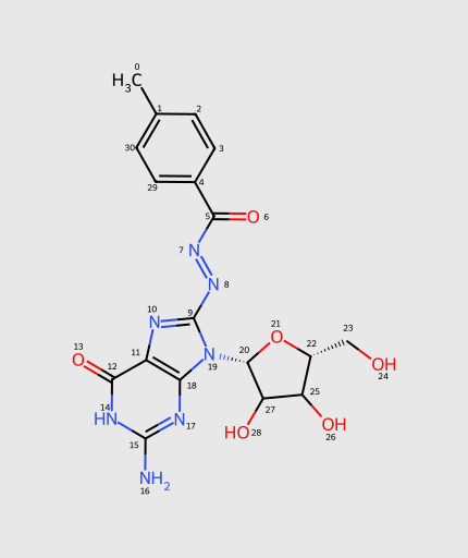 Cc1ccc(C(=O)/N=N/c2nc3c(=O)[nH]c(N)nc3n2[C@@H]2O[C@H](CO)C(O)C2O)cc1